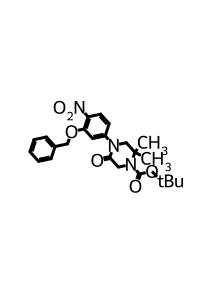 CC(C)(C)OC(=O)N1CC(=O)N(c2ccc([N+](=O)[O-])c(OCc3ccccc3)c2)CC1(C)C